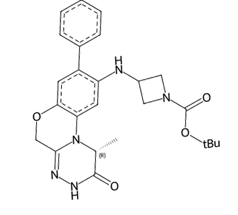 C[C@@H]1C(=O)NN=C2COc3cc(-c4ccccc4)c(NC4CN(C(=O)OC(C)(C)C)C4)cc3N21